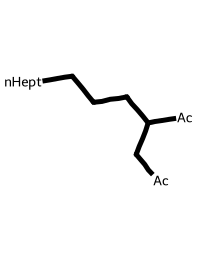 CCCCCCCCCCC(CC(C)=O)C(C)=O